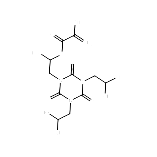 C=C(C)C(=O)OC(C)Cn1c(=O)n(CC(C)O)c(=O)n(CC(C)O)c1=O